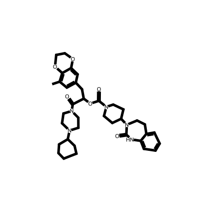 Cc1cc(CC(OC(=O)N2CCC(N3CCc4ccccc4NC3=O)CC2)C(=O)N2CCN(C3CCCCC3)CC2)cc2c1OCCO2